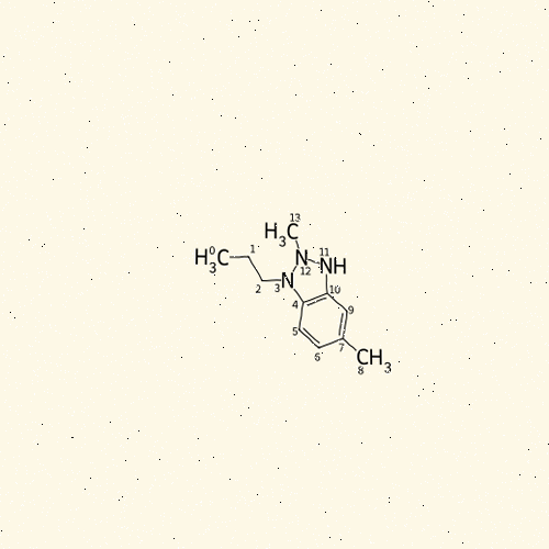 CCCN1c2ccc(C)cc2NN1C